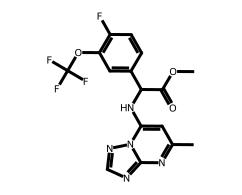 COC(=O)C(Nc1cc(C)nc2ncnn12)c1ccc(F)c(OC(F)(F)F)c1